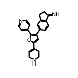 N=C1CCc2cc(-c3cc(C4=CCNCC4)oc3-c3ccncc3)ccc21